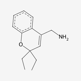 CCC1(CC)C=C(CN)c2ccccc2O1